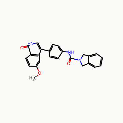 COc1ccc2c(=O)[nH]cc(-c3ccc(NC(=O)N4Cc5ccccc5C4)cc3)c2c1